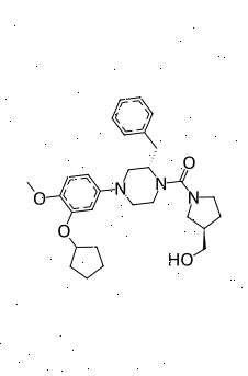 COc1ccc(N2CCN(C(=O)N3CC[C@@H](CO)C3)[C@@H](Cc3ccccc3)C2)cc1OC1CCCC1